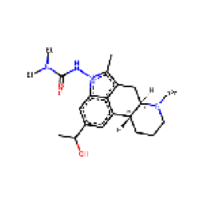 CCCN1CCC[C@@H]2c3cc(C(C)O)cc4c3c(c(C)n4NC(=O)N(CC)CC)C[C@H]21